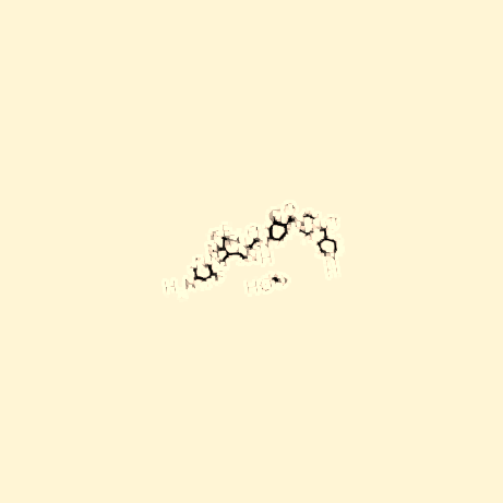 Cn1c(-c2cn(-c3ncc(N)cc3F)nc2C(F)(F)F)cnc1C(=O)Nc1ccc(C(=O)N2CCN(C(=O)C3CCNCC3)CC2)c(Cl)c1.O=CO